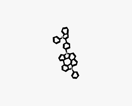 c1ccc(-n2c(-c3ccc(-n4c5cccc6c5c5c7c(ccc8c7c7c-6cccc7n8-c6ccccc6)ccc54)cc3)cc3ccccc32)cc1